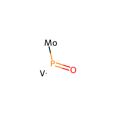 O=[P][Mo].[V]